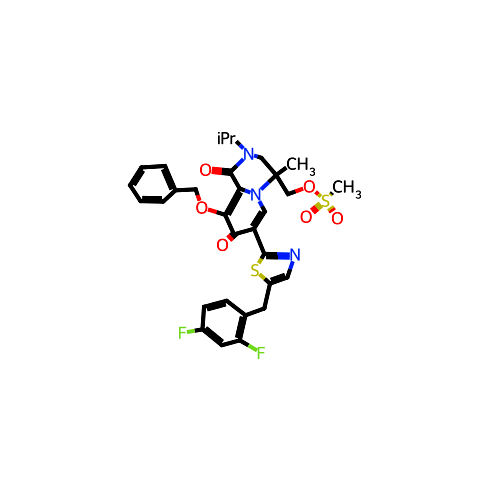 CC(C)N1CC(C)(COS(C)(=O)=O)n2cc(-c3ncc(Cc4ccc(F)cc4F)s3)c(=O)c(OCc3ccccc3)c2C1=O